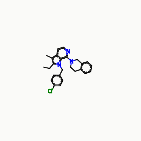 CCc1c(C)c2ccnc(N3CCc4ccccc4C3)c2n1Cc1ccc(Cl)cc1